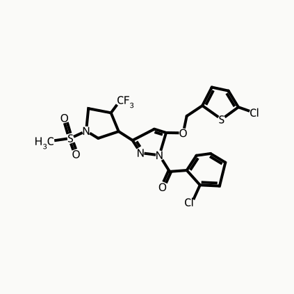 CS(=O)(=O)N1CC(c2cc(OCc3ccc(Cl)s3)n(C(=O)c3ccccc3Cl)n2)C(C(F)(F)F)C1